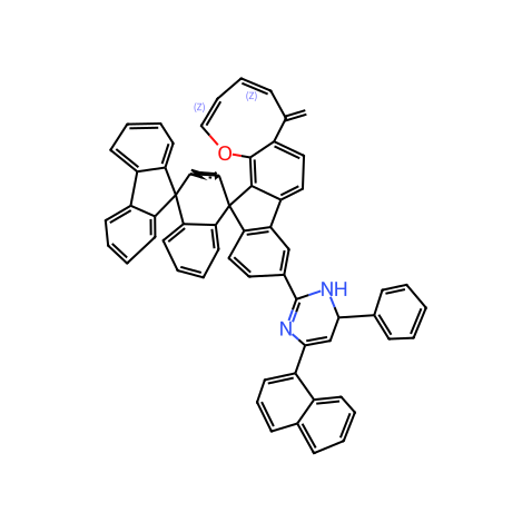 C=C1/C=C\C=C/Oc2c1ccc1c2C2(c3ccc(C4=NC(c5cccc6ccccc56)=CC(c5ccccc5)N4)cc3-1)c1ccccc1C1(c3ccccc3-c3ccccc31)c1ccccc12